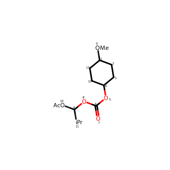 COC1CCC(OC(=O)OC(OC(C)=O)C(C)C)CC1